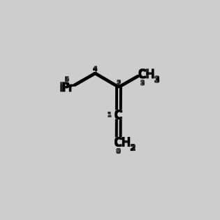 C=C=C(C)CC(C)C